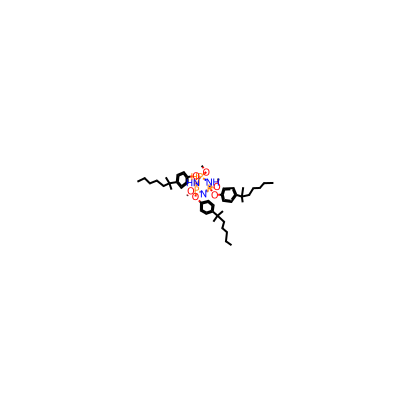 CCCCCC(C)(C)c1ccc(OP2(OC)=N[PH](OC)(Oc3ccc(C(C)(C)CCCCC)cc3)N[PH](OC)(Oc3ccc(C(C)(C)CCCCC)cc3)N2)cc1